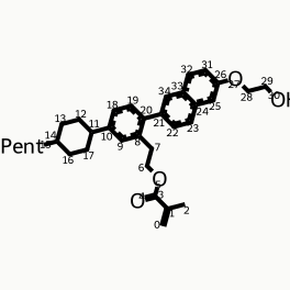 C=C(C)C(=O)OCCc1cc(C2CCC(CCCCC)CC2)ccc1-c1ccc2cc(OCCO)ccc2c1